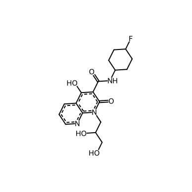 O=C(NC1CCC(F)CC1)c1c(O)c2cccnc2n(CC(O)CO)c1=O